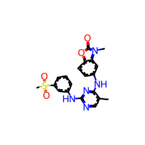 Cc1cnc(Nc2cccc(S(C)(=O)=O)c2)nc1Nc1ccc2oc(=O)n(C)c2c1